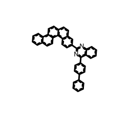 c1ccc(-c2ccc(-c3nc(-c4ccc5c(ccc6ccc7c8ccccc8ccc7c65)c4)nc4ccccc34)cc2)cc1